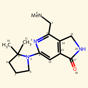 CNCc1nc(N2CCCC2(C)C)cc2c1CNC2=O